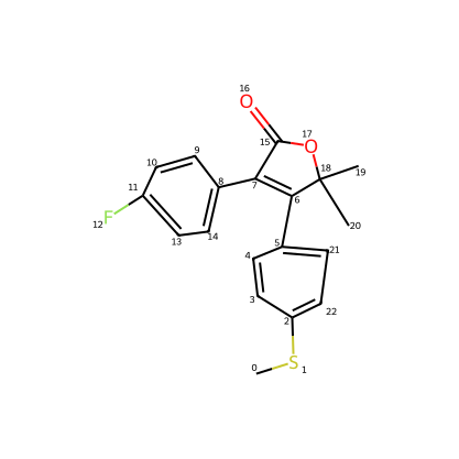 CSc1ccc(C2=C(c3ccc(F)cc3)C(=O)OC2(C)C)cc1